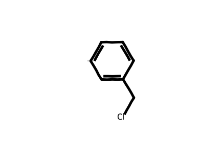 ClCc1c[c]ccc1